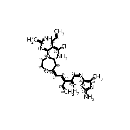 C=CCC(/C(=N\C(=C)N)N1CCO/C(=C/C=C(\C=C)C(=C)/C=N\c2sc(N)nc2C)CC1)=C(/N)Cl